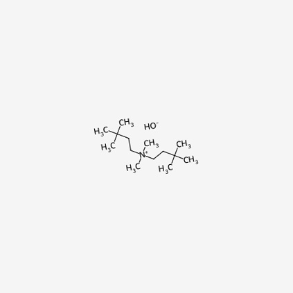 CC(C)(C)CC[N+](C)(C)CCC(C)(C)C.[OH-]